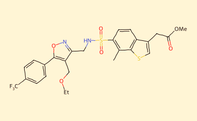 CCOCc1c(CNS(=O)(=O)c2ccc3c(CC(=O)OC)csc3c2C)noc1-c1ccc(C(F)(F)F)cc1